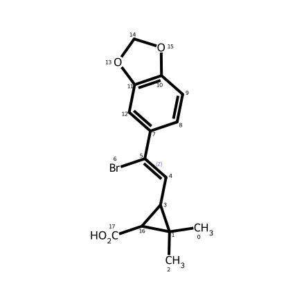 CC1(C)C(/C=C(\Br)c2ccc3c(c2)OCO3)C1C(=O)O